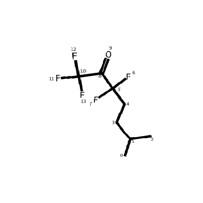 CC(C)CCC(F)(F)C(=O)C(F)(F)F